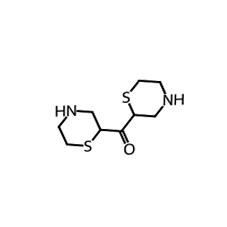 O=C(C1CNCCS1)C1CNCCS1